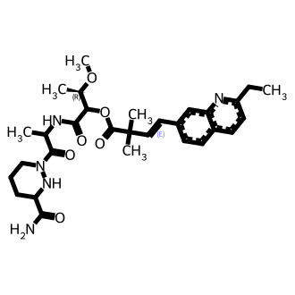 CCc1ccc2ccc(/C=C/C(C)(C)C(=O)OC(C(=O)NC(C)C(=O)N3CCCC(C(N)=O)N3)[C@@H](C)OC)cc2n1